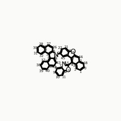 c1ccc2c(-c3nc4ccccc4o3)c3c(cc2c1)oc1ccc(-n2c4ccc5ccccc5c4c4c5ccccc5ccc42)cc13